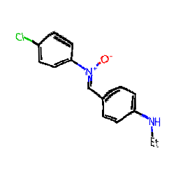 CCNc1ccc(C=[N+]([O-])c2ccc(Cl)cc2)cc1